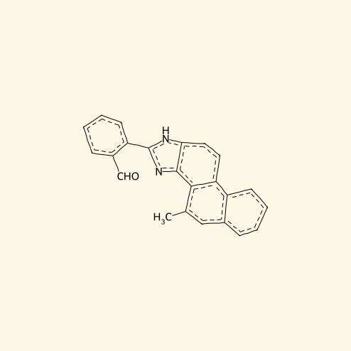 Cc1cc2ccccc2c2ccc3[nH]c(-c4ccccc4C=O)nc3c12